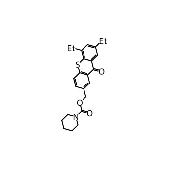 CCc1cc(CC)c2sc3ccc(COC(=O)N4CCCCC4)cc3c(=O)c2c1